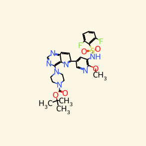 COc1ncc(-c2ccc3ncnc(N4CCN(C(=O)OC(C)(C)C)CC4)c3n2)cc1NS(=O)(=O)c1c(F)cccc1F